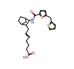 O=C(O)CCC/C=C/CC1C2CCC(C2)C1NC(=O)c1ccc(Cc2cccs2)s1